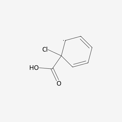 O=C(O)C1(Cl)[CH]C=CC=C1